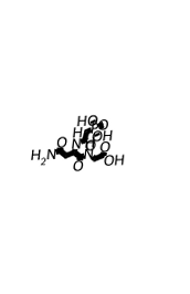 NC(=O)CC(NC(=O)CP(=O)(O)O)C(=O)NCC(=O)O